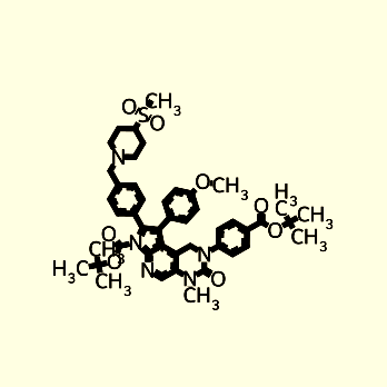 COc1ccc(-c2c(-c3ccc(CN4CCC(S(C)(=O)=O)CC4)cc3)n(C(=O)OC(C)(C)C)c3ncc4c(c23)CN(c2ccc(C(=O)OC(C)(C)C)cc2)C(=O)N4C)cc1